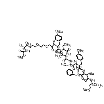 CCC(C)[C@H](NC(=O)[C@H](Cc1ccccc1)NC(=O)[C@H](Cc1ccc(OCC(C)C)cc1)NC(=O)[C@H](CO)NC(=O)[C@@H](NC(=O)[C@H](COCC(C)C)NC(=O)[C@H](Cc1ccc(OCC(C)C)cc1)NC(=O)COCCOCCNC(=O)[C@H](CC)NC(=O)OC(C)(C)C)C(C)OCC(C)C)C(=O)N[C@@H](CCSC)C(=O)O